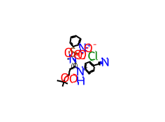 CN(C[C@H](CC(=O)OC(C)(C)C)Nc1ccc(C#N)c(Cl)c1)S(=O)(=O)c1ccccc1[N+](=O)[O-]